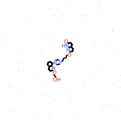 O=c1ccc2ccc(OCCCCN3CCN(c4cccc5ccc(OCCO)nc45)CC3)nc2[nH]1